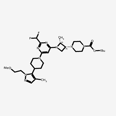 COCCn1ncc(C)c1C1CCN(c2cc(N3C[C@@H](N4CCN(C(=O)OC(C)(C)C)CC4)[C@H]3C)nc(C(F)F)n2)CC1